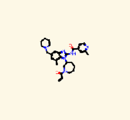 C=CC(=O)N1CCCCC(n2c(NC(=O)c3ccnc(C)c3)nc3cc(CN4CCCCC4)cc(C)c32)C1